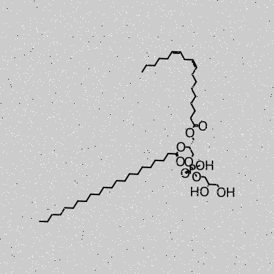 CCCCC/C=C\C/C=C\CCCCCCCC(=O)OC[C@H](COP(=O)(O)OC[C@@H](O)CO)OC(=O)CCCCCCCCCCCCCCCCCCCCC